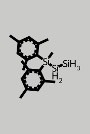 Cc1cc(C)c([Si](C)([SiH2][SiH3])c2c(C)cc(C)cc2C)c(C)c1